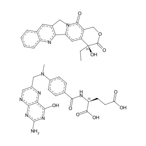 CC[C@@]1(O)C(=O)OCc2c1cc1n(c2=O)Cc2cc3ccccc3nc2-1.CN(Cc1cnc2nc(N)nc(O)c2n1)c1ccc(C(=O)N[C@@H](CCC(=O)O)C(=O)O)cc1